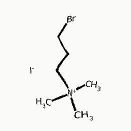 C[N+](C)(C)CCCBr.[I-]